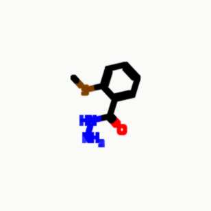 CSc1ccccc1C(=O)NN